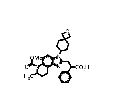 COC(=O)N1c2ccc3c(nc(CC(C(=O)O)c4ccccc4)n3C3CCC4(CC3)COC4)c2CCC1C